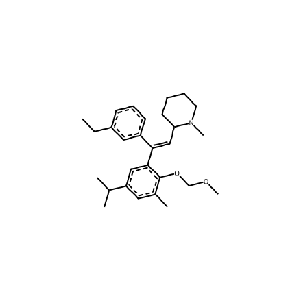 CCc1cccc(/C(=C\C2CCCCN2C)c2cc(C(C)C)cc(C)c2OCOC)c1